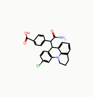 NC(=O)C(c1ccc(C(=O)O)cc1)C(c1ccccc1)c1ccc(Cl)cc1N1CCCCC1